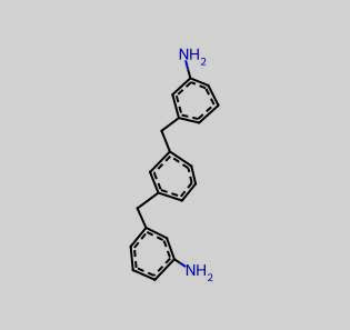 Nc1cccc(Cc2cccc(Cc3cccc(N)c3)c2)c1